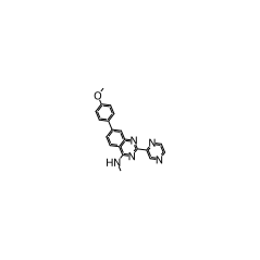 CNc1nc(-c2cnccn2)nc2cc(-c3ccc(OC)cc3)ccc12